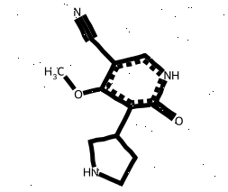 COc1c(C#N)c[nH]c(=O)c1C1CCNC1